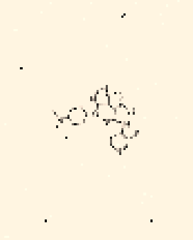 CCc1sc2ncnc(O[C@H]3CC[C@H](N(C)C)CC3)c2c1C(=O)Nc1ccncc1F